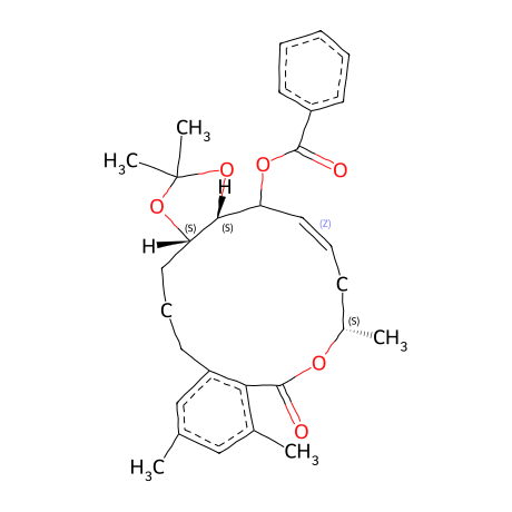 Cc1cc(C)c2c(c1)CCC[C@@H]1OC(C)(C)O[C@@H]1C(OC(=O)c1ccccc1)/C=C\C[C@H](C)OC2=O